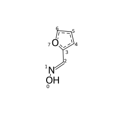 O/N=C/c1ccco1